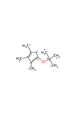 CC1=C(C)C(C)=C(O[Si](C)(C)C)C1